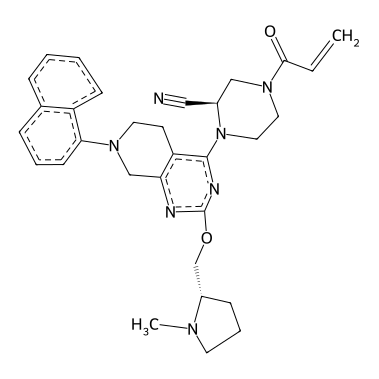 C=CC(=O)N1CCN(c2nc(OC[C@@H]3CCCN3C)nc3c2CCN(c2cccc4ccccc24)C3)[C@@H](C#N)C1